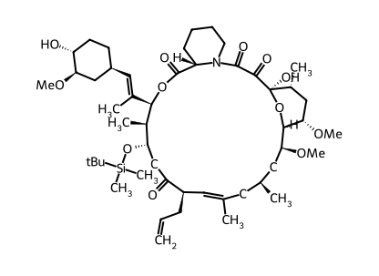 C=CC[C@@H]1/C=C(\C)C[C@H](C)C[C@H](OC)[C@H]2O[C@@](O)(C(=O)C(=O)N3CCCC[C@H]3C(=O)O[C@H](/C(C)=C/[C@@H]3CC[C@@H](O)[C@H](OC)C3)[C@H](C)[C@@H](O[Si](C)(C)C(C)(C)C)CC1=O)[C@H](C)C[C@@H]2OC